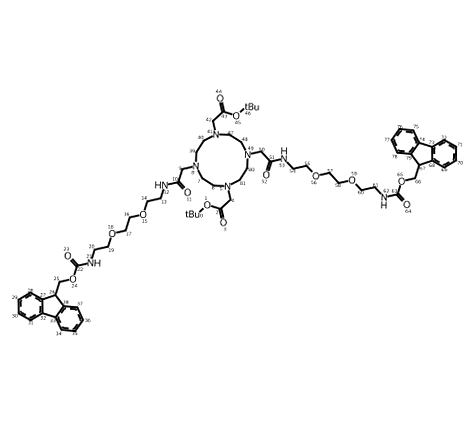 CC(C)(C)OC(=O)CN1CCN(CC(=O)NCCOCCOCCNC(=O)OCC2c3ccccc3-c3ccccc32)CCN(CC(=O)OC(C)(C)C)CCN(CC(=O)NCCOCCOCCNC(=O)OCC2c3ccccc3-c3ccccc32)CC1